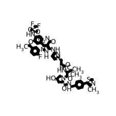 Cc1ncsc1-c1ccc(CNC(=O)[C@@H]2C[C@@H](O)CN2C(=O)C(NC(=O)CCn2ccc(Nc3[nH]nc(-c4ccc(NS(=O)(=O)C(F)F)c(OC(C)c5ccc(F)cc5)c4)c3C(N)=O)n2)C(C)(C)C)cc1